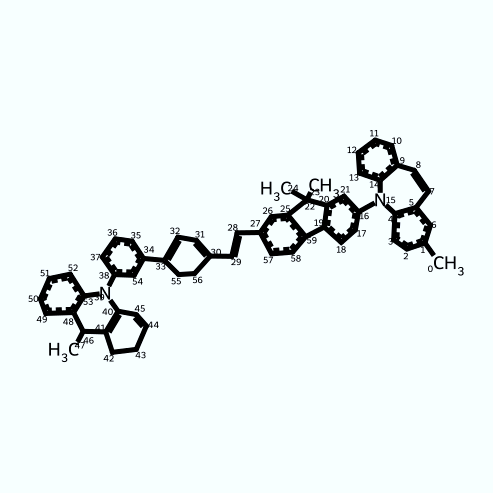 Cc1ccc2c(c1)C=Cc1ccccc1N2c1ccc2c(c1)C(C)(C)c1cc(/C=C/C3=CC=C(c4cccc(N5C6=C(CCC=C6)C(C)c6ccccc65)c4)CC3)ccc1-2